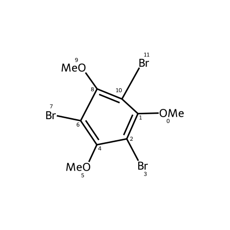 COc1c(Br)c(OC)c(Br)c(OC)c1Br